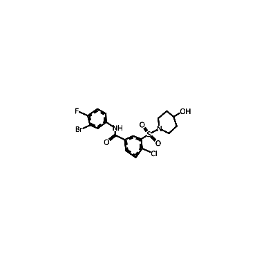 O=C(Nc1ccc(F)c(Br)c1)c1ccc(Cl)c(S(=O)(=O)N2CCC(O)CC2)c1